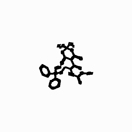 CC(C)(C)OC(=O)NC(CO[Si](c1ccccc1)(c1ccccc1)C(C)(C)C)C(=O)C1C(=O)OC(C)(C)OC1=O